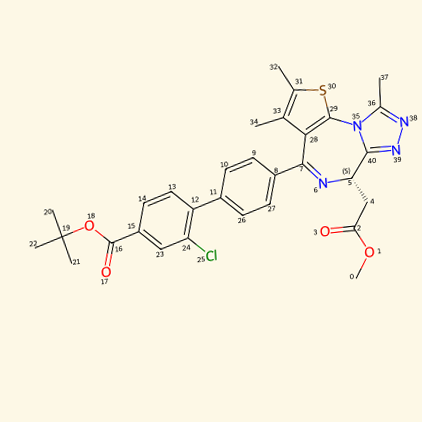 COC(=O)C[C@@H]1N=C(c2ccc(-c3ccc(C(=O)OC(C)(C)C)cc3Cl)cc2)c2c(sc(C)c2C)-n2c(C)nnc21